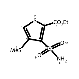 CCOC(=O)c1scc(SC)c1S(N)(=O)=O